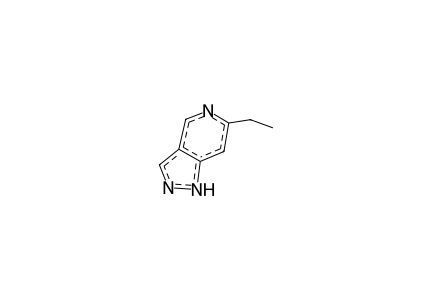 CCc1cc2[nH]ncc2cn1